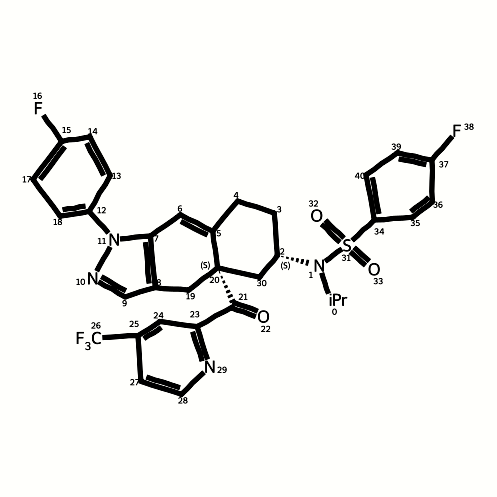 CC(C)N([C@H]1CCC2=Cc3c(cnn3-c3ccc(F)cc3)C[C@]2(C(=O)c2cc(C(F)(F)F)ccn2)C1)S(=O)(=O)c1ccc(F)cc1